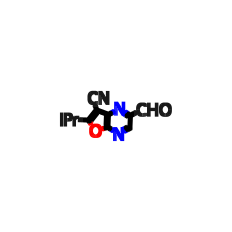 CC(C)c1oc2ncc(C=O)nc2c1C#N